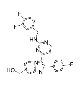 OCc1ccn2c(-c3ccnc(NCc4ccc(F)c(F)c4)n3)c(-c3ccc(F)cc3)nc2c1